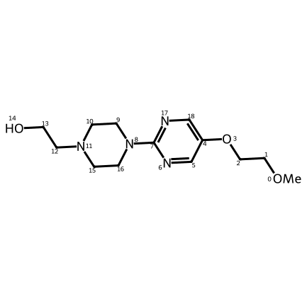 COCCOc1cnc(N2CCN(CCO)CC2)nc1